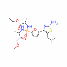 CCOC(=O)C(C)NP(=O)(NC(C)C(=O)COC)c1ccc(-c2nc(N)sc2CC(C)C)o1